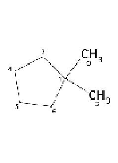 CC1(C)CCCC1